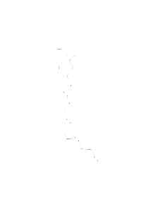 CO[Si](CCCNCCNCC(C)NCCN)(OC)OC